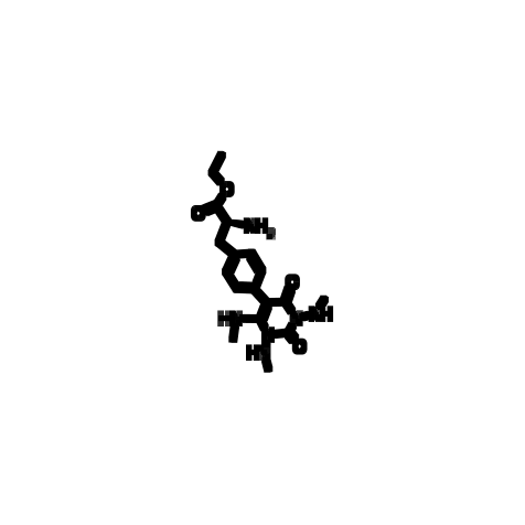 CCOC(=O)[C@@H](N)Cc1ccc(-c2c(NC)n(NC)c(=O)n(NC)c2=O)cc1